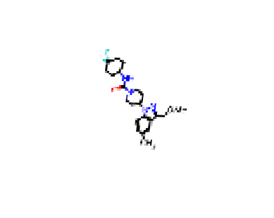 COCc1nn(C2CCN(C(=O)NC3CCC(F)(F)CC3)CC2)c2ccc(C)cc12